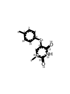 Cc1ccc(Sc2cn(C)c(=O)[nH]c2=O)cc1